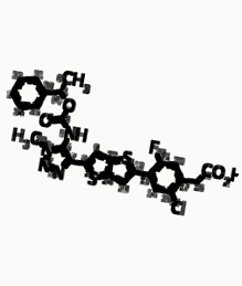 C[C@@H](OC(=O)Nc1c(-c2cc3sc(-c4cc(Cl)c(CC(=O)O)cc4F)cc3s2)nnn1C)c1ccccc1